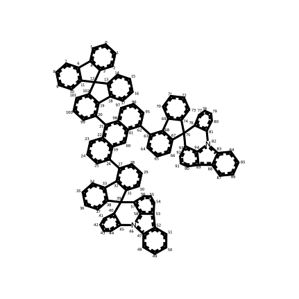 c1ccc2c(c1)-c1ccccc1C21c2ccccc2-c2c(-c3c4cccc(-c5cccc6c5-c5ccccc5C65c6ccccc6-n6c7ccccc7c7cccc5c76)c4cc4c(-c5cccc6c5-c5ccccc5C65c6ccccc6-n6c7ccccc7c7cccc5c76)cccc34)cccc21